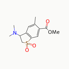 COC(=O)c1cc2c(cc1C)C(N(C)C)CS2(=O)=O